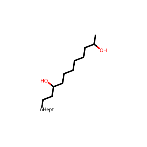 CCCCCCCCCC(O)CCCCCCC(C)O